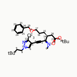 C/N=C(\C#Cc1cn(CCC(C)(C)C)nc1C(F)(F)F)[C@@H](CCCOCc1ccccc1)CC(=O)OC(C)(C)C